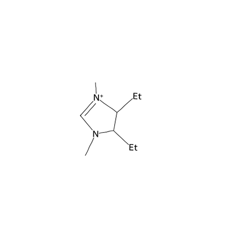 CCC1C(CC)[N+](C)=CN1C